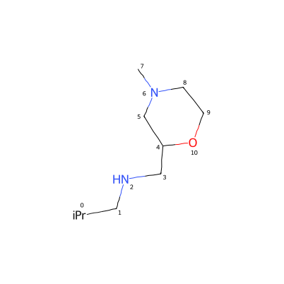 CC(C)CNCC1CN(C)CCO1